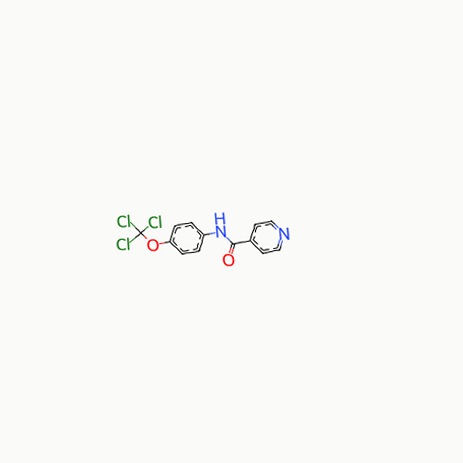 O=C(Nc1ccc(OC(Cl)(Cl)Cl)cc1)c1ccncc1